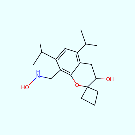 CC(C)c1cc(C(C)C)c2c(c1CNO)OC1(CCC1)C(O)C2